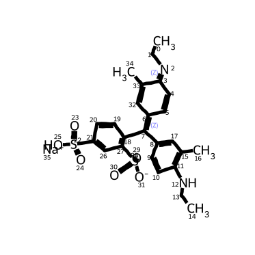 CC/N=C1C=C/C(=C(\c2ccc(NCC)c(C)c2)c2ccc(S(=O)(=O)O)cc2S(=O)(=O)[O-])C=C/1C.[Na+]